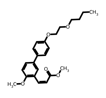 CCCCOCCOc1ccc(-c2ccc(OC)c(/C=C\C(=O)OC)c2)cc1